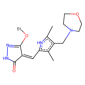 CCOC1=NNC(=O)/C1=C/c1[nH]c(C)c(CN2CCOCC2)c1C